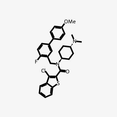 COc1ccc(-c2ccc(F)c(CN(C(=O)c3sc4ccccc4c3Cl)[C@H]3CC[C@H](N(C)C)CC3)c2)cc1